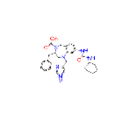 O=C(Nc1ccc2c(c1)N(Cc1c[nH]cn1)CC(Cc1ccccc1)N(C(=O)O)C2)NC1CCCCC1